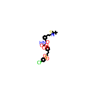 CC(C)(C)c1csc(C=Cc2cccc(C(=O)NC(Oc3ccc(CCCS(=O)(=O)c4ccc(Cl)cc4)cc3)C(=O)O)c2)n1